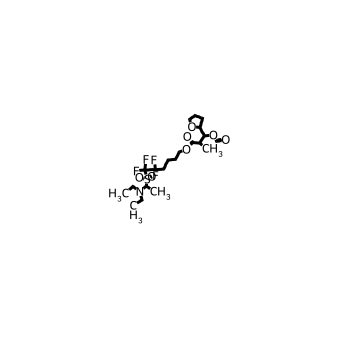 CCN(CC)C(C)S(=O)(=O)C(F)(F)C(F)(F)CCCCOC(=O)C(C)C(OC=O)C1CCCO1